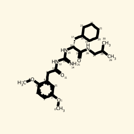 COc1ccc(OC)c(CC(=O)NC(=N)N[C@H](CC2CCCCC2)C(=O)NCC(C)C)c1